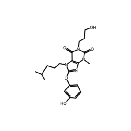 CC(C)CCCn1c(Oc2cccc(O)c2)nc2c1c(=O)n(CCCO)c(=O)n2C